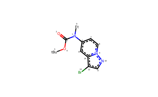 CCN(C(=O)OC(C)(C)C)c1ccn2ncc(Br)c2c1